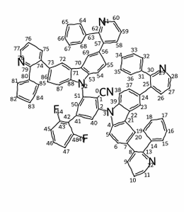 N#Cc1c(-n2c3ccc(-c4cccnc4-c4ccccc4)cc3c3cc(-c4cccnc4-c4ccccc4)ccc32)cc(-c2c(F)cccc2F)cc1-n1c2ccc(-c3cccnc3-c3ccccc3)cc2c2cc(-c3cccnc3-c3ccccc3)ccc21